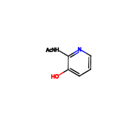 CC(=O)Nc1ncccc1O